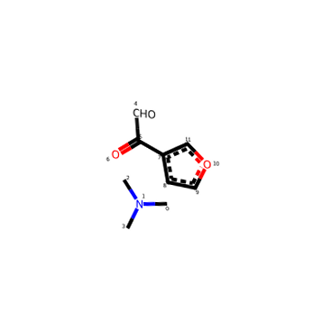 CN(C)C.O=CC(=O)c1ccoc1